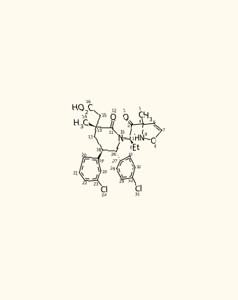 CC[C@H](C(=O)C1(C)C=CON1)N1C(=O)[C@@](C)(CC(=O)O)C[C@H](c2cccc(Cl)c2)[C@H]1c1ccc(Cl)cc1